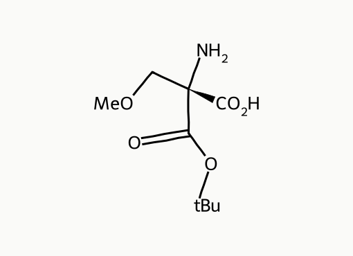 COC[C@@](N)(C(=O)O)C(=O)OC(C)(C)C